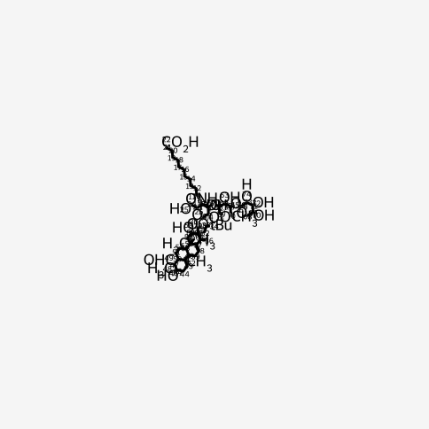 CC1O[C@@H](OC2C(O)[C@@H](NC(=O)CCCCCCCCCCC(=O)O)C(CO)O[C@H]2OC(=O)[C@]2(CCC(C)(C)C)C(I)C3=CCC4C5(C)CC[C@H](O)C(C)(C=O)C5CCC4(C)C3(C)C[C@@H]2O)C(O)C(O)[C@H]1O[C@@H]1OC[C@@H](O)C(O)C1O